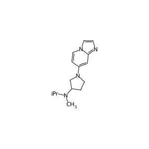 CC(C)N(C)C1CCN(c2ccn3ccnc3c2)C1